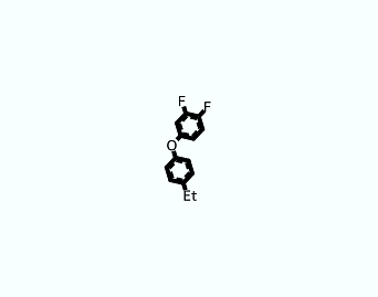 CCc1ccc(Oc2ccc(F)c(F)c2)cc1